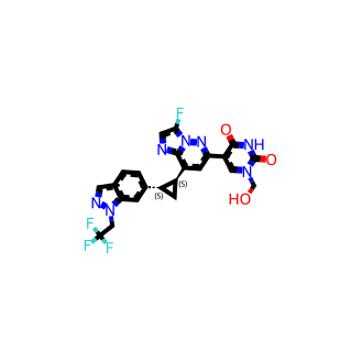 O=c1[nH]c(=O)n(CO)cc1-c1cc([C@H]2C[C@@H]2c2ccc3cnn(CC(F)(F)F)c3c2)c2ncc(F)n2n1